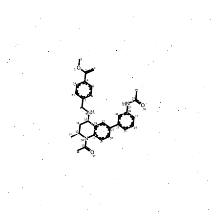 C=C(OC)c1ccc(CN[C@@H]2C[C@H](C)N(C(C)=O)c3ccc(-c4cccc(NC(C)=O)c4)cc32)cc1